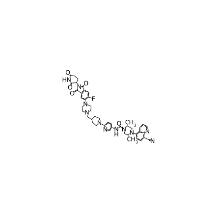 C[C@@H]1CN(c2ccc(C#N)c3ncccc23)[C@@H](C)CN1C(=O)Nc1ccc(N2CCC(CN3CCN(c4cc5c(cc4F)C(=O)N([C@@H]4CCC(=O)NC4=O)C5=O)CC3)CC2)nc1